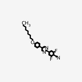 CCCCCCCCCOc1ccc(-c2cnc(-c3cc(F)c(C#N)c(F)c3)nc2)cc1